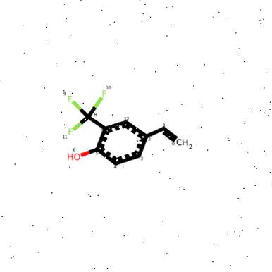 C=Cc1ccc(O)c(C(F)(F)F)c1